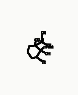 CCCCCC1(O)C(CC)CCCC1(C(=O)O)C(C)C#N